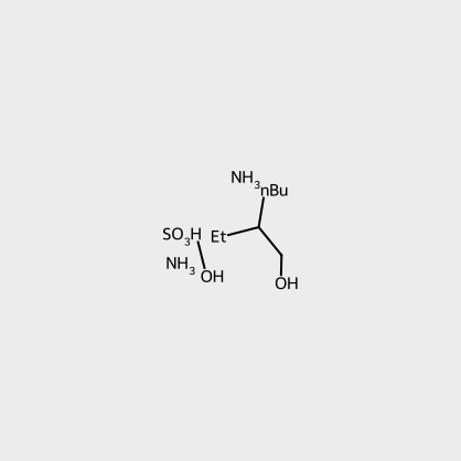 CCCCC(CC)CO.N.N.O=S(=O)(O)O